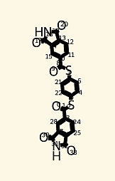 O=C(Sc1ccc(SC(=O)c2ccc3c(c2)C(=O)NC3=O)cc1)c1ccc2c(c1)C(=O)NC2=O